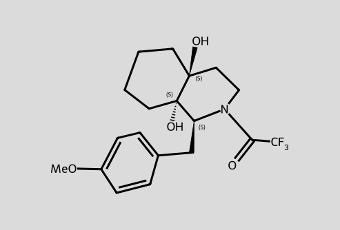 COc1ccc(C[C@@H]2N(C(=O)C(F)(F)F)CC[C@@]3(O)CCCC[C@]23O)cc1